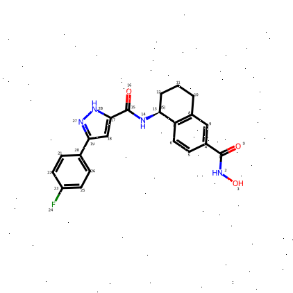 O=C(NO)c1ccc2c(c1)CCC[C@@H]2NC(=O)c1cc(-c2ccc(F)cc2)n[nH]1